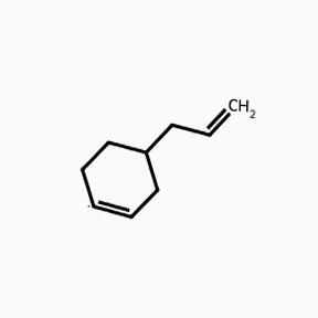 C=CCC1CC=[C]CC1